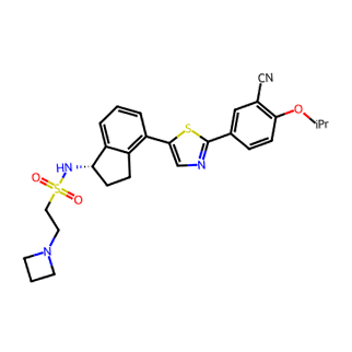 CC(C)Oc1ccc(-c2ncc(-c3cccc4c3CC[C@@H]4NS(=O)(=O)CCN3CCC3)s2)cc1C#N